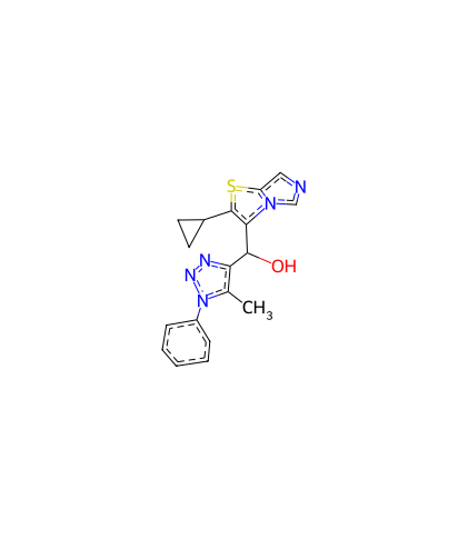 Cc1c(C(O)c2c(C3CC3)sc3cncn23)nnn1-c1ccccc1